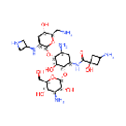 NC[C@H]1O[C@H](O[C@H]2[C@H](O)[C@@H](O[C@H]3O[C@H](CO)[C@@H](O)[C@H](N)[C@H]3O)[C@H](NC(=O)C3(O)CC(N)C3)C[C@@H]2N)[C@H](NC2CNC2)C[C@@H]1O